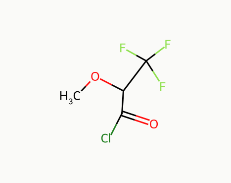 COC(C(=O)Cl)C(F)(F)F